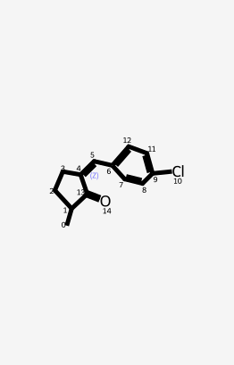 CC1CC/C(=C/c2ccc(Cl)cc2)C1=O